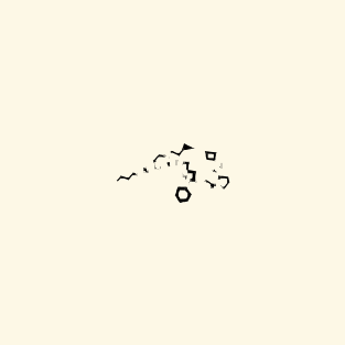 CCCCOC(=O)ON1CCN(C(=O)[C@@H](NC(=O)c2cc(OCC(=O)N3CCC[C@H]3C(=O)NC3CCC3)n(-c3ccccc3)n2)C2CC2)CC1